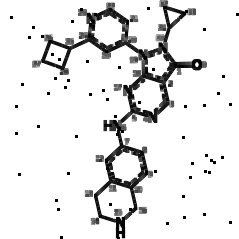 O=c1c2cnc(Nc3ccc4c(c3)CCNC4)nc2n(-c2ccnc(C3CCC3)c2)n1C1CC1